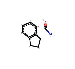 NC=O.c1ccc2c(c1)CCC2